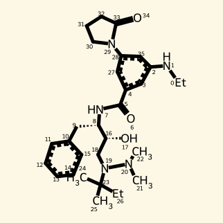 CCNc1cc(C(=O)N[C@@H](Cc2ccccc2)[C@H](O)CN(N(C)C)C(C)(C)CC)cc(N2CCCC2=O)c1